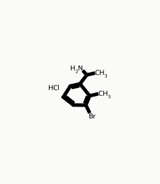 Cc1c(Br)cccc1C(C)N.Cl